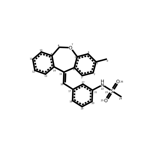 Cc1ccc2c(c1)OCc1ccccc1/C2=C/c1cccc(NS(C)(=O)=O)c1